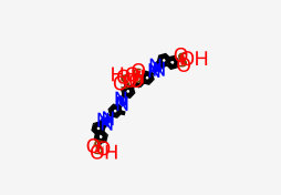 Cc1cc(-n2n3c4ccc5cc(S(=O)(=O)O)ccc5c4n23)ccc1N=Nc1ccc(C=Cc2ccc(-n3n4c5ccc6cc(S(=O)(=O)O)ccc6c5n34)cc2S(=O)(=O)O)c(S(=O)(=O)O)c1